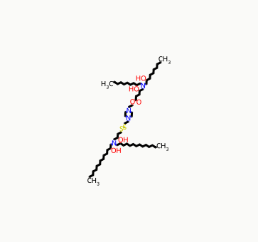 CCCCCCCCCCCCC(O)CN(CCCCSSCCN1CCN(CCOC(=O)CCCCN(CC(O)CCCCCCCC)CC(O)CCCCCCCC)CC1)CC(O)CCCCCCCCCCCC